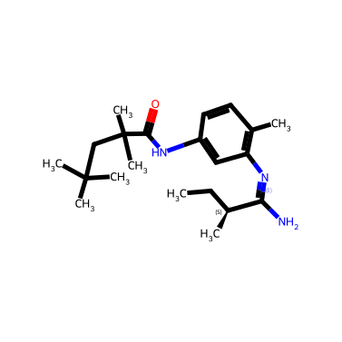 CC[C@H](C)/C(N)=N\c1cc(NC(=O)C(C)(C)CC(C)(C)C)ccc1C